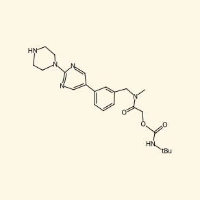 CN(Cc1cccc(-c2cnc(N3CCNCC3)nc2)c1)C(=O)COC(=O)NC(C)(C)C